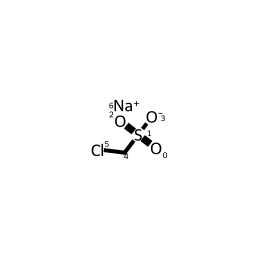 O=S(=O)([O-])CCl.[Na+]